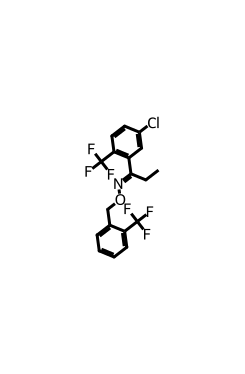 CC/C(=N\OCc1ccccc1C(F)(F)F)c1cc(Cl)ccc1C(F)(F)F